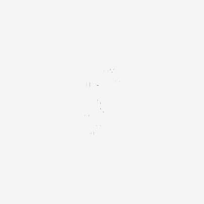 COC(=O)[C@H](O)CNNC(=O)OC(C)(C)C